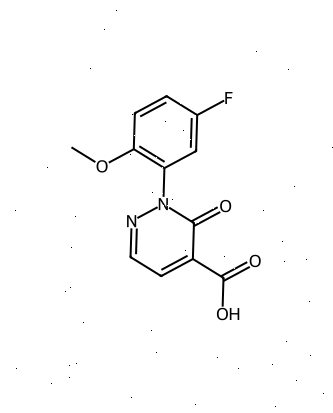 COc1ccc(F)cc1-n1nccc(C(=O)O)c1=O